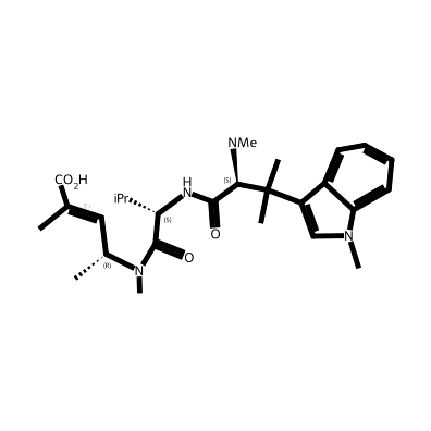 CN[C@H](C(=O)N[C@H](C(=O)N(C)[C@H](C)/C=C(\C)C(=O)O)C(C)C)C(C)(C)c1cn(C)c2ccccc12